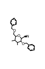 CC1C(COCc2ccccc2)OC(C#N)C(OCc2ccccc2)C1C